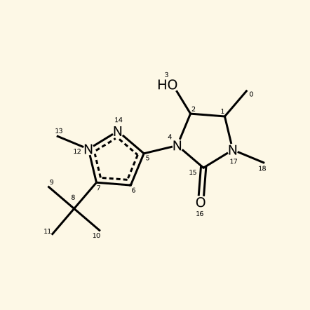 CC1C(O)N(c2cc(C(C)(C)C)n(C)n2)C(=O)N1C